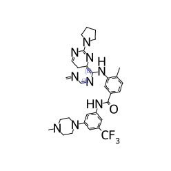 C=N/C=N\C(Nc1cc(C(=O)Nc2cc(N3CCN(C)CC3)cc(C(F)(F)F)c2)ccc1C)=C1/CC=NC(N2CCCC2)=N1